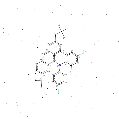 CC(C)(C)Cc1ccc2c(N(c3ccc(F)cc3)c3c(F)cc(F)cc3F)c3cc(C(C)(C)C)ccc3cc2c1